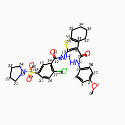 COc1ccc(NC(=O)c2c(NC(=O)c3cc(S(=O)(=O)N4CCCC4)ccc3Cl)sc3c2CCCC3)cc1